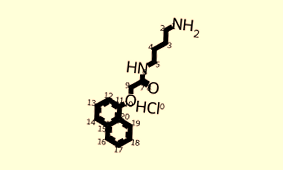 Cl.NCCCCNC(=O)COc1cccc2ccccc12